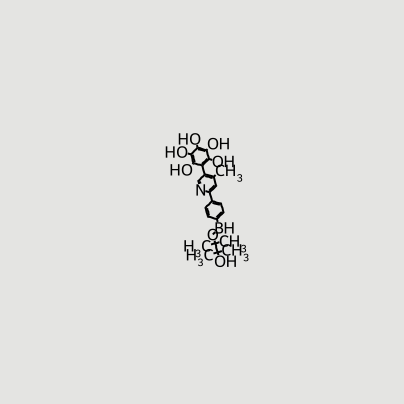 Cc1cc(-c2ccc(BOC(C)(C)C(C)(C)O)cc2)ncc1-c1c(O)c(O)c(O)c(O)c1O